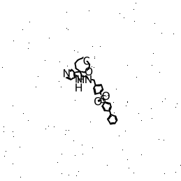 O=C(NCc1ccc(S(=O)(=O)c2ccc(-c3ccccc3)cc2)cc1)C1Nc2ccncc2C12CCCCCCCC2